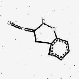 O=C=C1Cc2ccccc2ON1